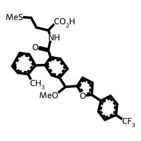 COC(c1ccc(C(=O)NC(CCSC)C(=O)O)c(-c2ccccc2C)c1)c1ccc(-c2ccc(C(F)(F)F)cc2)o1